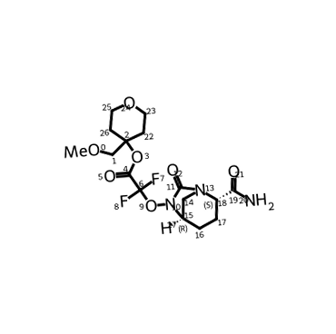 COCC1(OC(=O)C(F)(F)ON2C(=O)N3C[C@H]2CC[C@H]3C(N)=O)CCOCC1